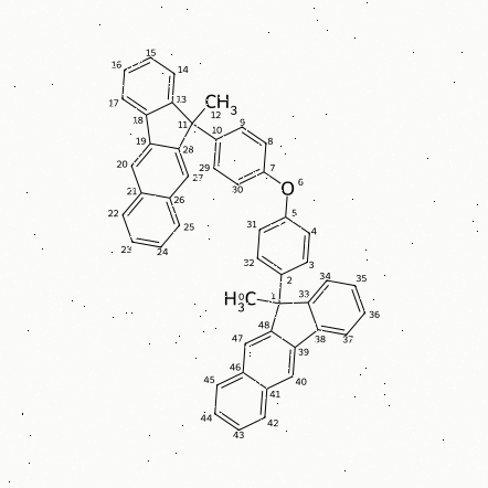 CC1(c2ccc(Oc3ccc(C4(C)c5ccccc5-c5cc6ccccc6cc54)cc3)cc2)c2ccccc2-c2cc3ccccc3cc21